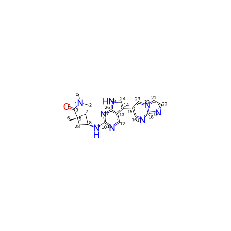 CN(C)C(=O)[C@]1(C)C[C@@H](Nc2ncc3c(-c4cnc5nccn5c4)c[nH]c3n2)C1